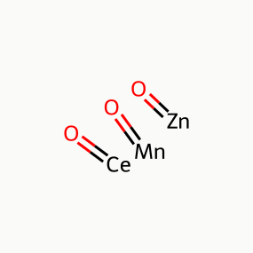 [O]=[Ce].[O]=[Mn].[O]=[Zn]